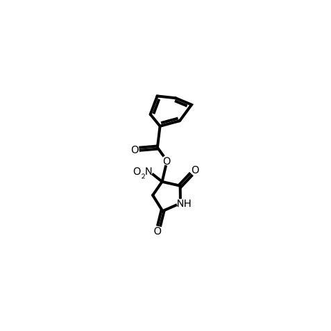 O=C1CC(OC(=O)c2ccccc2)([N+](=O)[O-])C(=O)N1